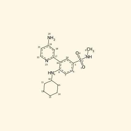 CNS(=O)(=O)c1ccc(NC2CCCCC2)c(-c2cc(N)ccn2)c1